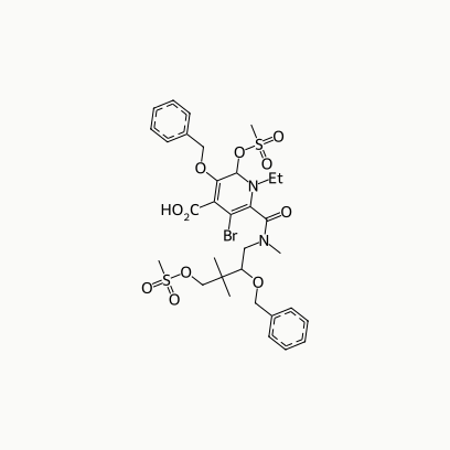 CCN1C(C(=O)N(C)CC(OCc2ccccc2)C(C)(C)COS(C)(=O)=O)=C(Br)C(C(=O)O)=C(OCc2ccccc2)C1OS(C)(=O)=O